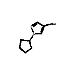 CC(C)(C)c1cnn(C2CCCC2)c1